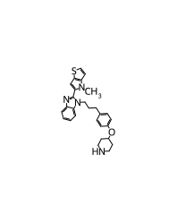 Cn1c(-c2nc3ccccc3n2CCCc2ccc(OC3CCNCC3)cc2)cc2sccc21